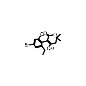 CCc1cc(Br)cc(Cl)c1C1=C(O)CC(C)(C)OC1=O